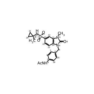 CC(=O)Nc1ccc(Cn2c(=O)n(C)c3cc(S(=O)(=O)NC4(C)CC4)ccc32)cc1